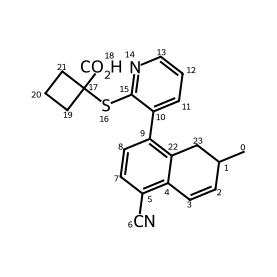 CC1C=Cc2c(C#N)ccc(-c3cccnc3SC3(C(=O)O)CCC3)c2C1